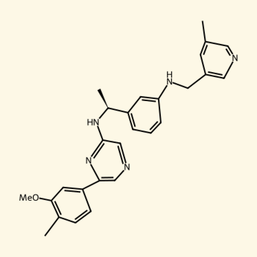 COc1cc(-c2cncc(N[C@@H](C)c3cccc(NCc4cncc(C)c4)c3)n2)ccc1C